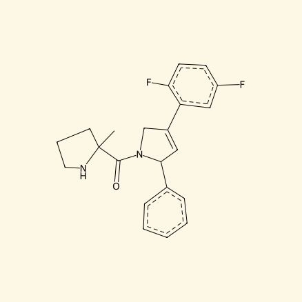 CC1(C(=O)N2CC(c3cc(F)ccc3F)=CC2c2ccccc2)CCCN1